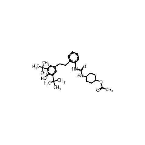 CC(=O)OC1CCC(NC(=O)Nc2ccccc2CCc2cc(C(C)(C)C)c(O)c(C(C)(C)C)c2)CC1